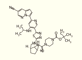 CC(C)Nc1cc(-c2ccc3cc(C#N)cnn23)ncc1-c1nnc(N2C[C@H]3CC[C@@H](C2)[C@H]3NC(=O)N2CCN(C(=O)OC(C)(C)C)CC2)s1